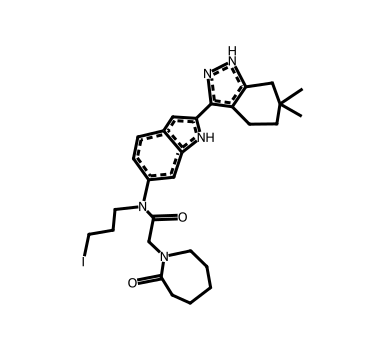 CC1(C)CCc2c(-c3cc4ccc(N(CCCI)C(=O)CN5CCCCCC5=O)cc4[nH]3)n[nH]c2C1